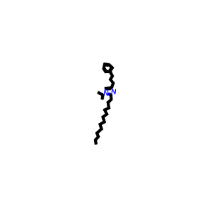 CCCCCCCCCCCCCc1nc(CCCc2ccccc2)cn1C(C)C